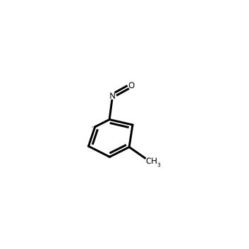 Cc1cc[c]c(N=O)c1